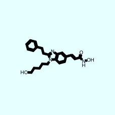 O=C(C=Cc1ccc2c(c1)nc(CCc1ccccc1)n2CCCCCO)NO